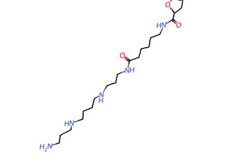 NCCCNCCCCNCCCNC(=O)CCCCCNC(=O)C1CC=CO1